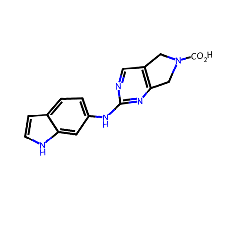 O=C(O)N1Cc2cnc(Nc3ccc4cc[nH]c4c3)nc2C1